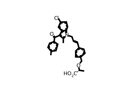 Cc1ccc(C(=O)c2c(C)n(C/C=C/c3ccc(CO[C@H](C)C(=O)O)cc3)c3ccc(Cl)cc23)cc1